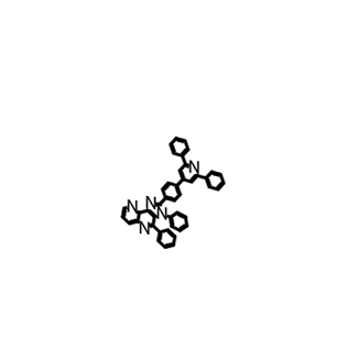 c1ccc(-c2cc(-c3ccc(-c4nc5c6ncccc6nc(-c6ccccc6)c5n4-c4ccccc4)cc3)cc(-c3ccccc3)n2)cc1